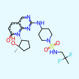 CC(F)(F)CNS(=O)(=O)N1CCC(Nc2ncc3ccc(=O)n([C@@H]4CCC[C@@]4(C)O)c3n2)CC1